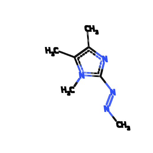 CN=Nc1nc(C)c(C)n1C